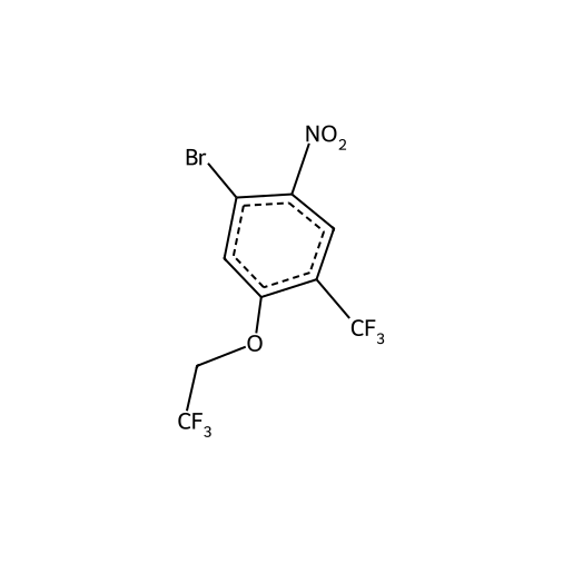 O=[N+]([O-])c1cc(C(F)(F)F)c(OCC(F)(F)F)cc1Br